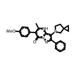 COc1ccc(-c2c(C)[nH]c3c(N4CCC5(CC5)C4)c(-c4ccccc4)nn3c2=O)cc1